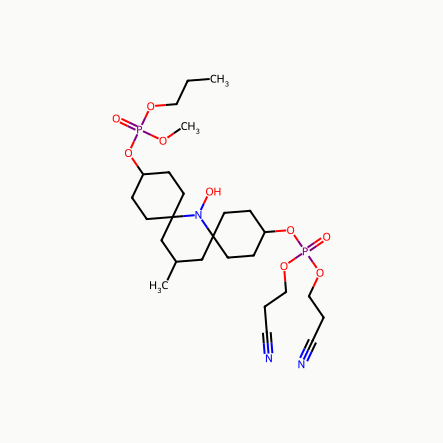 CCCOP(=O)(OC)OC1CCC2(CC1)CC(C)CC1(CCC(OP(=O)(OCCC#N)OCCC#N)CC1)N2O